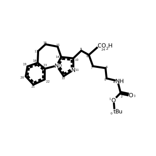 CC(C)(C)OC(=O)NCCCC(Cc1ncn2c1CCCc1ccccc1-2)C(=O)O